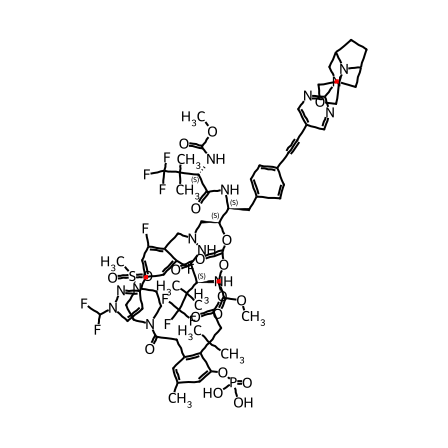 COC(=O)N[C@H](C(=O)N[C@@H](Cc1ccc(C#Cc2cnc(N3CC4CCC(C3)N4C3COC3)nc2)cc1)[C@H](CN(Cc1c(F)cc(-c2ccn(C(F)F)n2)cc1F)NC(=O)[C@@H](NC(=O)OC)C(C)(C)C(F)(F)F)OC(=O)OCOC(=O)CC(C)(C)c1c(CC(=O)N2CCN(S(C)(=O)=O)CC2)cc(C)cc1OP(=O)(O)O)C(C)(C)C(F)(F)F